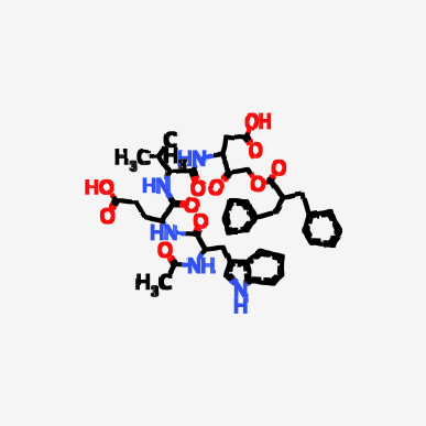 CC(=O)NC(Cc1c[nH]c2ccccc12)C(=O)NC(CCC(=O)O)C(=O)NC(C(=O)NC(CC(=O)O)C(=O)COC(=O)C(Cc1ccccc1)Cc1ccccc1)C(C)C